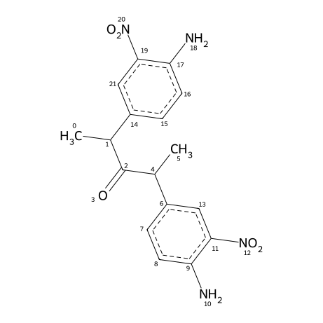 CC(C(=O)C(C)c1ccc(N)c([N+](=O)[O-])c1)c1ccc(N)c([N+](=O)[O-])c1